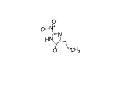 C=CCc1nc([N+](=O)[O-])[nH]c1Cl